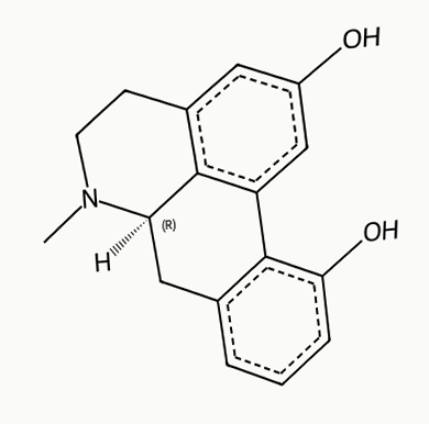 CN1CCc2cc(O)cc3c2[C@H]1Cc1cccc(O)c1-3